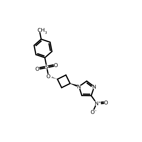 Cc1ccc(S(=O)(=O)O[C@H]2C[C@H](n3cnc([N+](=O)[O-])c3)C2)cc1